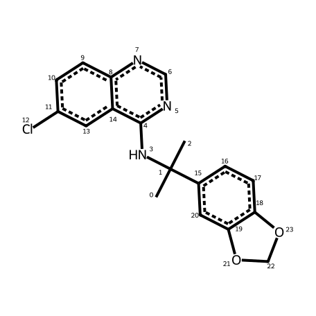 CC(C)(Nc1ncnc2ccc(Cl)cc12)c1ccc2c(c1)OCO2